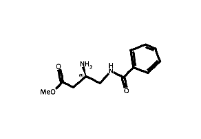 COC(=O)C[C@@H](N)CNC(=O)c1ccccc1